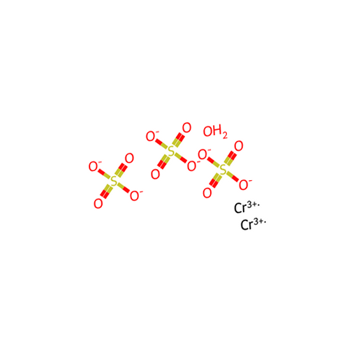 O.O=S(=O)([O-])[O-].O=S(=O)([O-])[O-].O=S(=O)([O-])[O-].[Cr+3].[Cr+3]